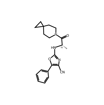 C[C@H](Nc1nc(C#N)c(-c2ccccc2)o1)C(=O)N1CCC2(CC1)CC2